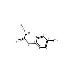 O=C(Cc1ccc(Cl)cc1)OS